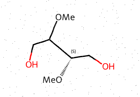 COC(CO)[C@H](CO)OC